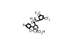 Cc1cc(F)ccc1C1CN(C(=O)O)CCC1C(=O)N(C)Cc1cc(C(F)(F)F)cc(C(F)(F)F)c1